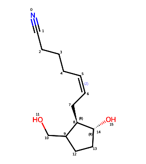 N#CCCC/C=C\C[C@@H]1C(CO)CC[C@H]1O